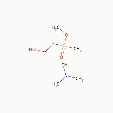 CN(C)C.COP(C)(=O)CCO